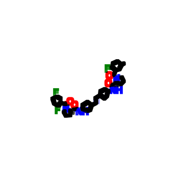 Cc1ccc(F)c(C(=O)N2CCC[C@H]2C(=O)Nc2ccc(/C=C/c3ccc(NC(=O)[C@@H]4CCCN4C(=O)c4cc(F)ccc4F)cc3)cc2)c1